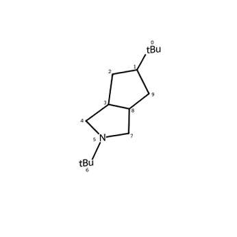 CC(C)(C)C1CC2CN(C(C)(C)C)CC2C1